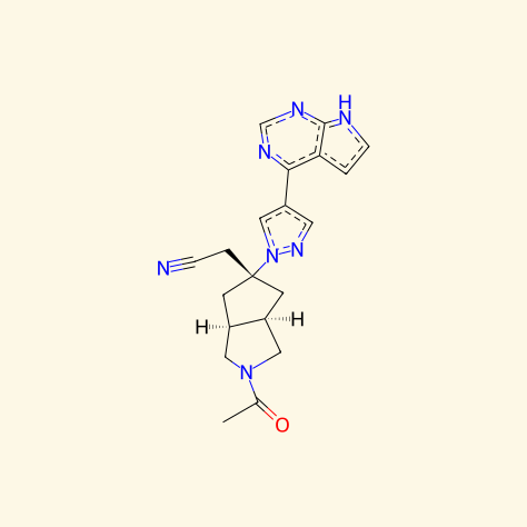 CC(=O)N1C[C@@H]2C[C@@](CC#N)(n3cc(-c4ncnc5[nH]ccc45)cn3)C[C@@H]2C1